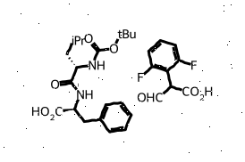 CC(C)C[C@H](NC(=O)OC(C)(C)C)C(=O)N[C@@H](Cc1ccccc1)C(=O)O.O=CC(C(=O)O)c1c(F)cccc1F